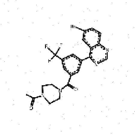 CC(=O)N1CCN(C(=O)c2cc(-c3ncnc4ccc(Br)cc34)cc(C(F)(F)F)c2)CC1